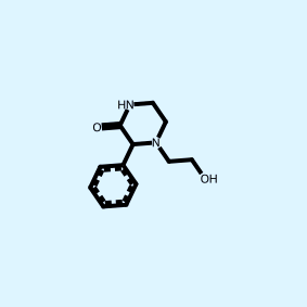 O=C1NCCN(CCO)C1c1ccccc1